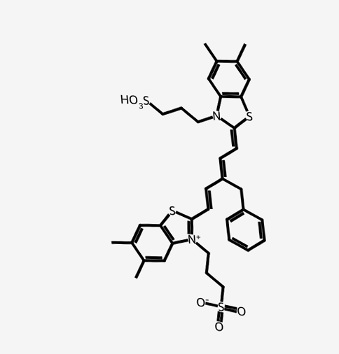 Cc1cc2c(cc1C)N(CCCS(=O)(=O)O)C(=CC=C(C=Cc1sc3cc(C)c(C)cc3[n+]1CCCS(=O)(=O)[O-])Cc1ccccc1)S2